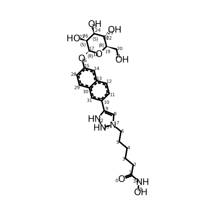 O=C(CCCCCN1C=C(c2ccc3cc(O[C@H]4O[C@H](CO)[C@@H](O)[C@H](O)[C@@H]4O)ccc3c2)NN1)NO